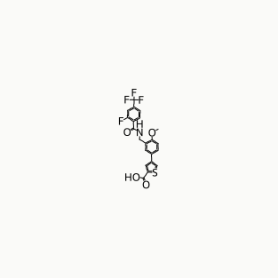 COc1ccc(-c2csc(C(=O)O)c2)cc1CNC(=O)c1ccc(C(F)(F)F)cc1F